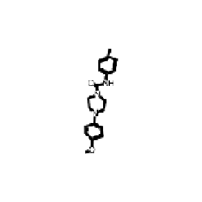 COc1ccc(N2CCN(C(=O)Nc3ccc(C)cc3)CC2)cc1